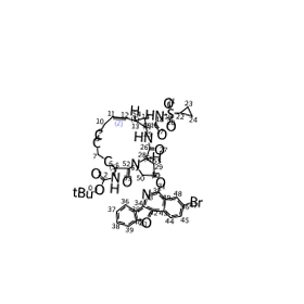 CC(C)(C)OC(=O)N[C@H]1CCCCC/C=C\[C@@H]2C[C@@]2(C(=O)NS(=O)(=O)C2CC2)NC(=O)[C@@H]2C[C@@H](Oc3nc4c5ccccc5oc4c4ccc(Br)cc34)CN2C1=O